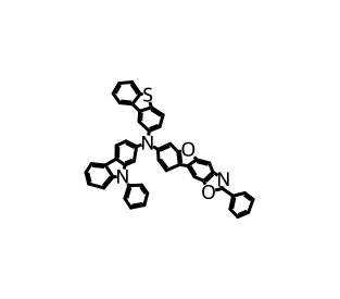 c1ccc(-c2nc3cc4oc5cc(N(c6ccc7sc8ccccc8c7c6)c6ccc7c8ccccc8n(-c8ccccc8)c7c6)ccc5c4cc3o2)cc1